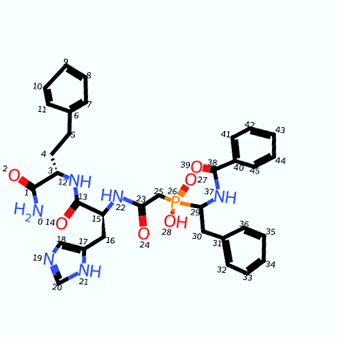 NC(=O)[C@H](CCc1ccccc1)NC(=O)[C@H](Cc1cnc[nH]1)NC(=O)CP(=O)(O)C(Cc1ccccc1)NC(=O)c1ccccc1